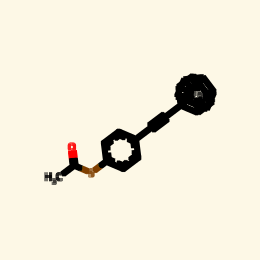 CC(=O)Sc1ccc(C#C[C]23[CH]4[CH]5[CH]6[CH]2[Fe]56432789[CH]3[CH]2[CH]7[CH]8[CH]39)cc1